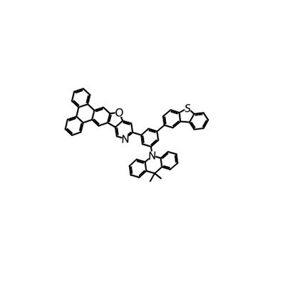 CC1(C)c2ccccc2N(c2cc(-c3ccc4sc5ccccc5c4c3)cc(-c3cc4oc5cc6c7ccccc7c7ccccc7c6cc5c4cn3)c2)c2ccccc21